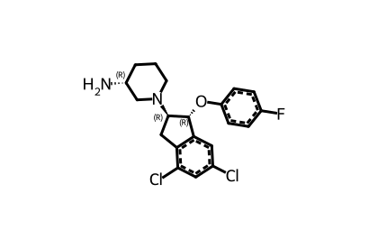 N[C@@H]1CCCN([C@@H]2Cc3c(Cl)cc(Cl)cc3[C@H]2Oc2ccc(F)cc2)C1